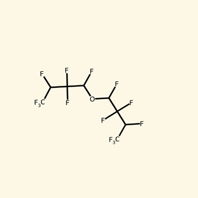 FC(OC(F)C(F)(F)C(F)C(F)(F)F)C(F)(F)C(F)C(F)(F)F